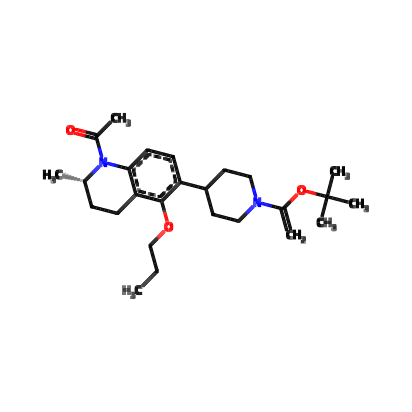 C=C(OC(C)(C)C)N1CCC(c2ccc3c(c2OCCC)CC[C@H](C)N3C(C)=O)CC1